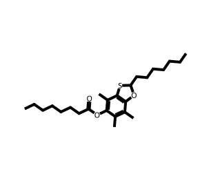 CCCCCCCC(=O)Oc1c(C)c(C)c2c(c1C)SC(CCCCCCC)O2